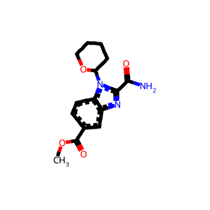 COC(=O)c1ccc2c(c1)nc(C(N)=O)n2C1CCCCO1